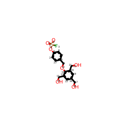 O=S(=O)(F)Oc1ccc(COc2c(CO)cc(CO)cc2CO)cc1